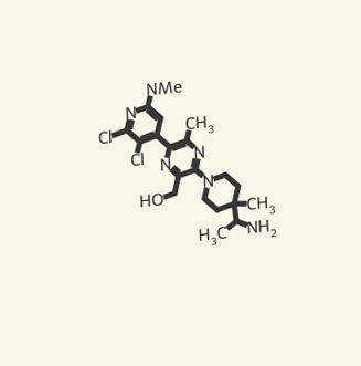 CNc1cc(-c2nc(CO)c(N3CCC(C)(C(C)N)CC3)nc2C)c(Cl)c(Cl)n1